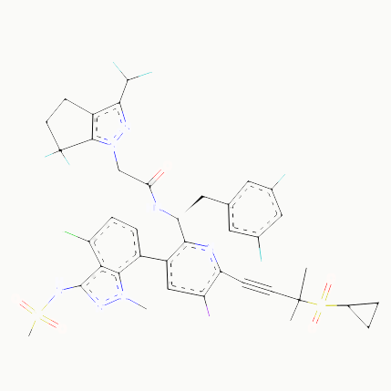 Cn1nc(NS(C)(=O)=O)c2c(Cl)ccc(-c3cc(I)c(C#CC(C)(C)S(=O)(=O)C4CC4)nc3[C@H](Cc3cc(F)cc(F)c3)NC(=O)Cn3nc(C(F)F)c4c3C(F)(F)CC4)c21